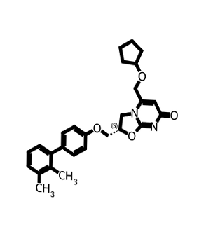 Cc1cccc(-c2ccc(OC[C@@H]3Cn4c(COC5CCCC5)cc(=O)nc4O3)cc2)c1C